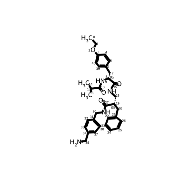 CCOc1ccc(C[C@@H](NC(=O)C(C)C)C(=O)NC[C@H](Cc2ccccc2)C(=O)NCc2ccc(CN)cc2)cc1